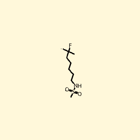 [CH2]C(C)(F)CCCCCNS(C)(=O)=O